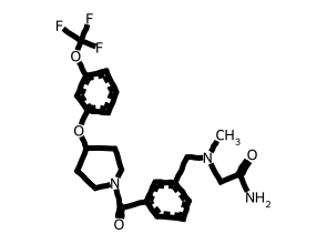 CN(CC(N)=O)Cc1cccc(C(=O)N2CCC(Oc3cccc(OC(F)(F)F)c3)CC2)c1